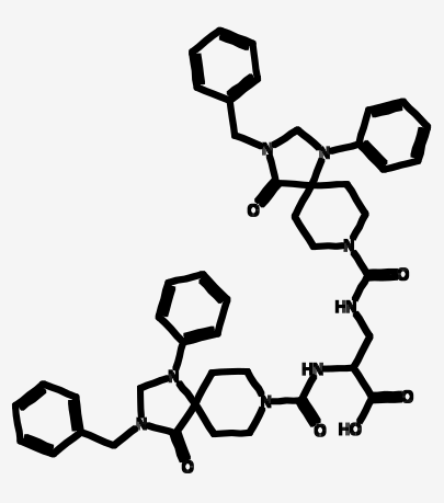 O=C(O)C(CNC(=O)N1CCC2(CC1)C(=O)N(Cc1ccccc1)CN2c1ccccc1)NC(=O)N1CCC2(CC1)C(=O)N(Cc1ccccc1)CN2c1ccccc1